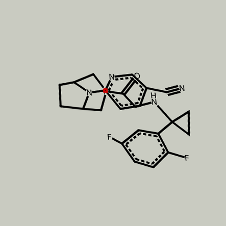 N#Cc1ccc(N2C3CCC2CN(C(=O)CNC2(c4cc(F)ccc4F)CC2)C3)nc1